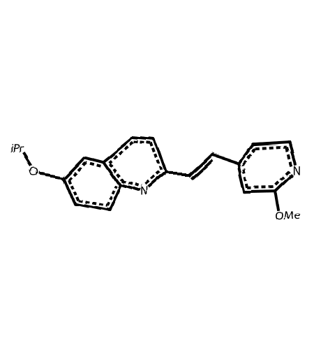 COc1cc(/C=C/c2ccc3cc(OC(C)C)ccc3n2)ccn1